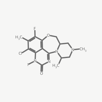 Cc1c(F)c2c3c(nc(=O)n(I)c3c1Cl)N1C(C)CN(C)CC1CO2